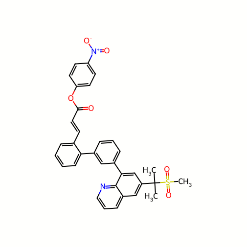 CC(C)(c1cc(-c2cccc(-c3ccccc3C=CC(=O)Oc3ccc([N+](=O)[O-])cc3)c2)c2ncccc2c1)S(C)(=O)=O